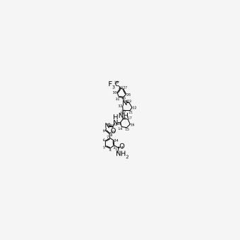 NC(=O)c1cccc(-c2cnc(N[C@@H]3CCCC[C@H]3N[C@H]3CCCN(c4ccc(C(F)(F)F)cc4)C3)o2)c1